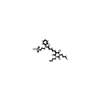 CCCCN1C(=O)C(=C/C=C/C=C2\Oc3ccccc3N2CCCS(=O)(=O)O)C(=O)N(CCCC)C1=S